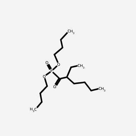 CCCCOP(=O)(OCCCC)C(=O)C(CC)CCCC